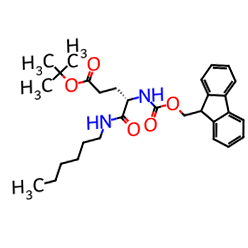 CCCCCCNC(=O)[C@H](CCC(=O)OC(C)(C)C)NC(=O)OCC1c2ccccc2-c2ccccc21